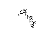 COc1ccc2nc(C)nc(SCC(=O)c3ccc(CNC(=O)c4cncn4C)s3)c2c1